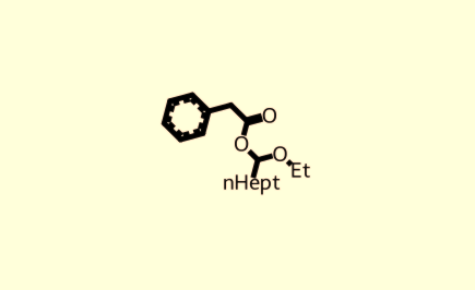 CCCCCCCC(OCC)OC(=O)Cc1ccccc1